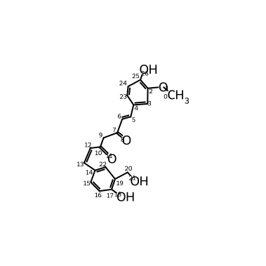 COc1cc(/C=C/C(=O)CC(=O)/C=C\c2ccc(O)c(CO)c2)ccc1O